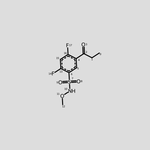 CCC(=O)c1cc(S(=O)(=O)NOC)c(F)cc1F